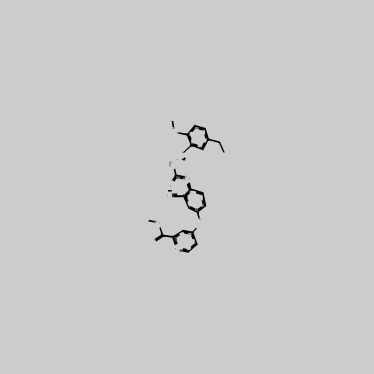 CNC(=O)c1cc(Oc2ccc3nc(NS(=O)(=O)c4cc(CI)ccc4OC)nnc3c2)ccn1